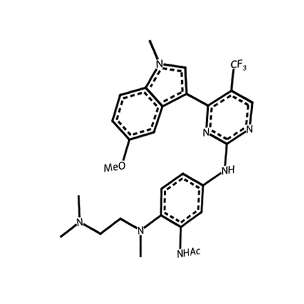 COc1ccc2c(c1)c(-c1nc(Nc3ccc(N(C)CCN(C)C)c(NC(C)=O)c3)ncc1C(F)(F)F)cn2C